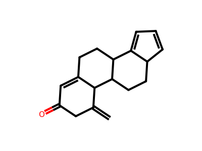 C=C1CC(=O)C=C2CCC3C4=CC=CC4CCC3C12